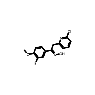 COc1ccc(/C(Cc2cccc(Cl)n2)=N/O)cc1Br